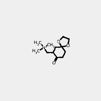 C[N+](C)(C)CC1CC2(CCC1=O)OCCO2